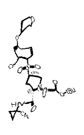 CC(C)(C)OC(=O)ON1C[C@H](S(=O)(=O)c2ccc(OC3COC3)cc2Cl)C[C@H]1C(=O)NC1(C#N)CC1